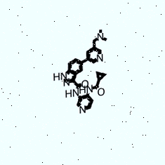 CN(C)Cc1cncc(-c2ccc3[nH]nc(C(=O)Nc4cnccc4NC(=O)C4CC4)c3c2)c1